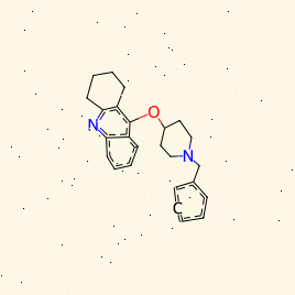 c1ccc(CN2CCC(Oc3c4c(nc5ccccc35)CCCC4)CC2)cc1